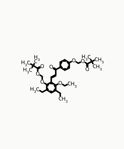 CCOc1c(CC)cc(CC)c(OCOC(=O)C(C)(C)C)c1/C=C/C(=O)c1ccc(OCOC(=O)C(C)(C)C)cc1